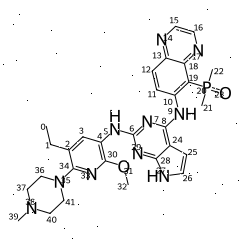 CCc1cc(Nc2nc(Nc3ccc4nccnc4c3P(C)(C)=O)c3cc[nH]c3n2)c(OC)nc1N1CCN(C)CC1